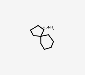 N[C@H]1CCCC12CCCCC2